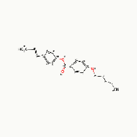 N#CCCCCOc1ccc(C(=O)Oc2ccc(/C=C/C(=O)O)cc2)cc1